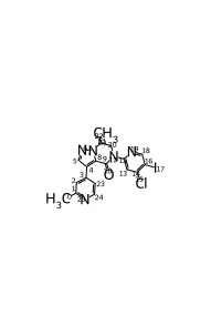 Cc1cc(-c2cnn3c2C(=O)N(c2cc(Cl)c(I)cn2)C[C@@H]3C)ccn1